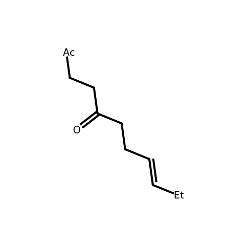 CCC=CCCC(=O)CCC(C)=O